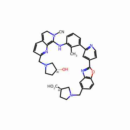 Cc1c(NC2=c3nc(CN4CC[C@@H](O)C4)ccc3=CCN2C#N)cccc1-c1cc(-c2nc3cc(CN4CC[C@@H](C(=O)O)C4)ccc3o2)ccn1